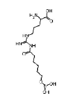 N=C(NCCCC(N)C(=O)O)NC(=O)CCCCCON(O)O